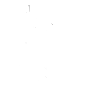 C[C@@H]1C[C@@H](C(=O)NCc2ccc3c(c2)nnn3C)N(C(=O)[C@H](N)CCc2ccccc2)C1